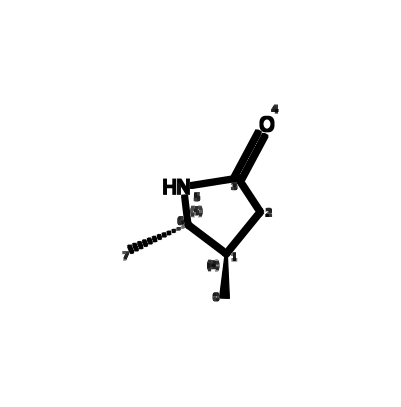 C[C@@H]1CC(=O)N[C@H]1C